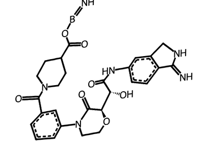 N=BOC(=O)C1CCN(C(=O)c2cccc(N3CCO[C@H]([C@@H](O)C(=O)Nc4ccc5c(c4)CNC5=N)C3=O)c2)CC1